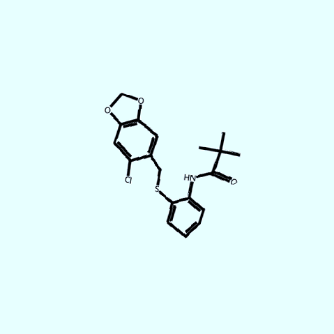 CC(C)(C)C(=O)Nc1ccccc1SCc1cc2c(cc1Cl)OCO2